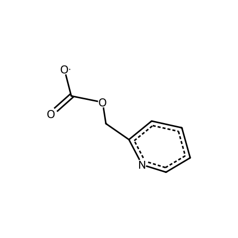 [O]C(=O)OCc1ccccn1